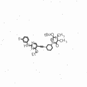 CCOc1nc(Nc2cccc(F)c2)ncc1C#C[C@@H]1CCC[C@H](NC(=O)[C@H](C)N(C)C(=O)OC(C)(C)C)C1